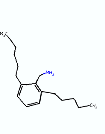 CCCCCc1cccc(CCCCC)c1CN